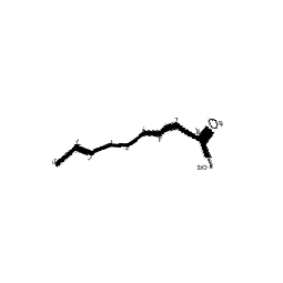 CCCCCCCCC(=O)I